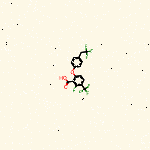 O=C(O)c1c(Oc2ccc(CC(F)(F)F)cc2)ccc(C(F)(F)F)c1F